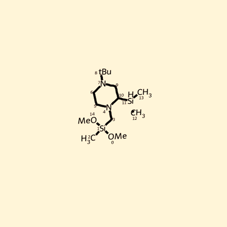 CO[Si](C)(CN1CCN(C(C)(C)C)CC1[SiH](C)C)OC